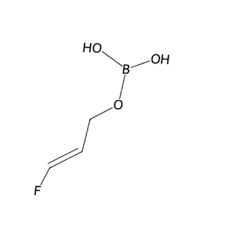 OB(O)OCC=CF